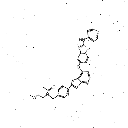 COCCN(Cc1ccc(-c2cc3nccc(Oc4ccc5oc(Nc6ccccc6)nc5c4)c3s2)nc1)C(C)=O